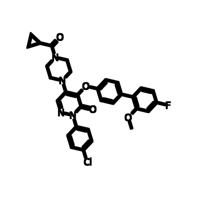 COc1cc(F)ccc1-c1ccc(Oc2c(N3CCN(C(=O)C4CC4)CC3)cnn(-c3ccc(Cl)cc3)c2=O)cc1